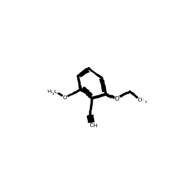 C#Cc1c(OC)cccc1OCC